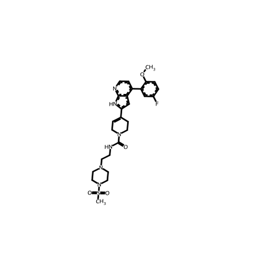 COc1ccc(F)cc1-c1ccnc2[nH]c(C3=CCN(C(=O)NCCN4CCN(S(C)(=O)=O)CC4)CC3)cc12